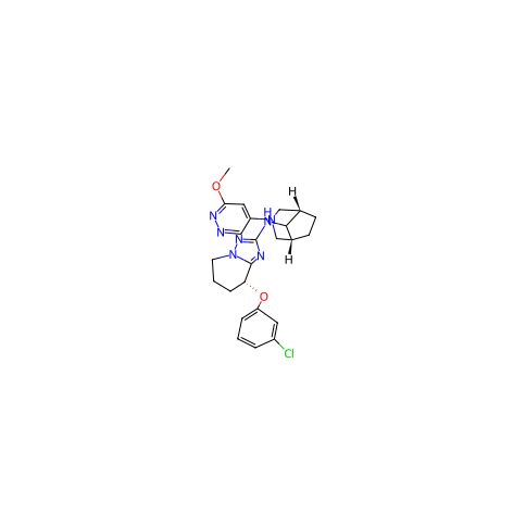 COc1cc(N2C[C@H]3CC[C@@H](C2)C3Nc2nc3n(n2)CCC[C@H]3Oc2cccc(Cl)c2)cnn1